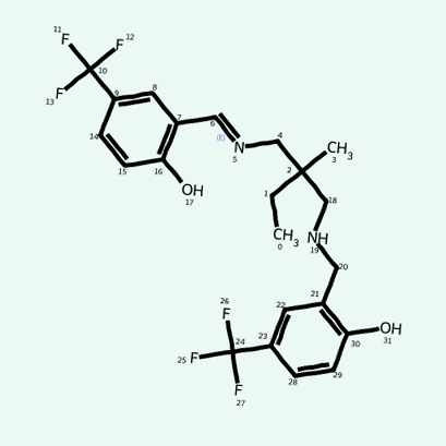 CCC(C)(C/N=C/c1cc(C(F)(F)F)ccc1O)CNCc1cc(C(F)(F)F)ccc1O